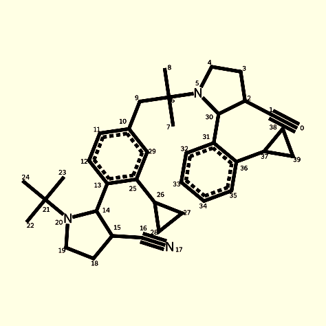 C#CC1CCN(C(C)(C)Cc2ccc(C3C(C#N)CCN3C(C)(C)C)c(C3CC3)c2)C1c1ccccc1C1CC1